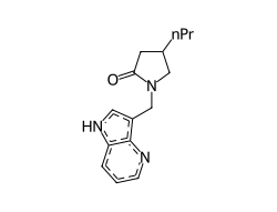 CCCC1CC(=O)N(Cc2c[nH]c3cccnc23)C1